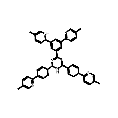 CC1=CNC(c2cc(C3=NC(C4C=CC(c5ccc(C)cn5)=CC4)NC(C4=CCC(c5ccc(C)cn5)C=C4)=N3)cc(-c3ccc(C)cn3)c2)C=C1